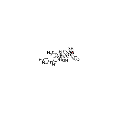 C[C@H]1C[C@@H]2[C@H]([C@@H](O)C[C@@]3(C)[C@H]2CC[C@]3(OC(=O)c2cocn2)C(=O)S)[C@@]2(C)Cc3cnn(-c4ccc(F)nc4)c3C=C12